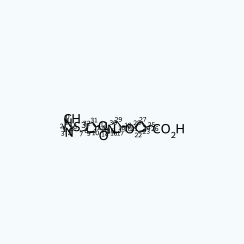 Cn1ccnc1SCc1ccc(OC(=O)N2CCC(COc3ccc(CC(=O)O)cc3)CC2)cc1